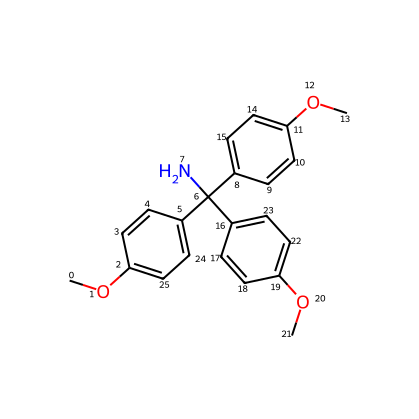 COc1ccc(C(N)(c2ccc(OC)cc2)c2ccc(OC)cc2)cc1